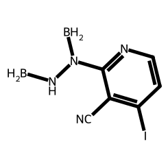 BNN(B)c1nccc(I)c1C#N